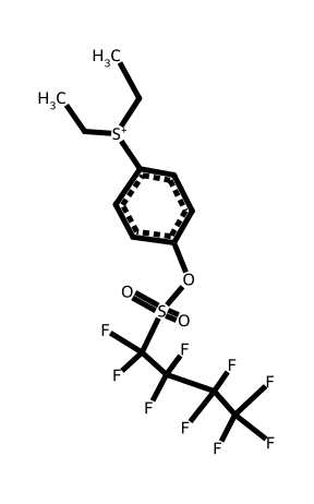 CC[S+](CC)c1ccc(OS(=O)(=O)C(F)(F)C(F)(F)C(F)(F)C(F)(F)F)cc1